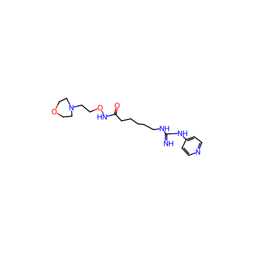 N=C(NCCCCCC(=O)NOCCN1CCOCC1)Nc1ccncc1